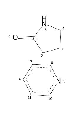 O=C1CCCN1.c1ccncc1